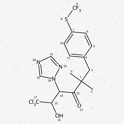 CC(C)(Cc1ccc(SC(F)(F)F)cc1)C(=O)C(C(O)C(Cl)(Cl)Cl)n1cncn1